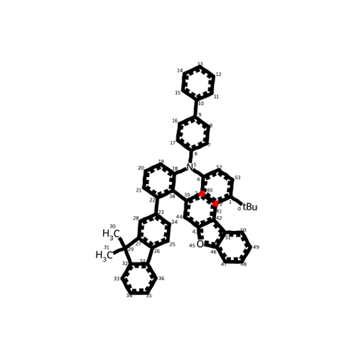 CC(C)(C)c1ccc(N(c2ccc(-c3ccccc3)cc2)c2cccc(-c3ccc4c(c3)C(C)(C)c3ccccc3-4)c2-c2ccc3c(c2)oc2ccccc23)cc1